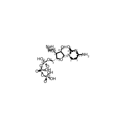 Nc1ccn([C@@H]2O[C@H](COP(=O)(O)OP(=O)(O)OP(=O)(O)O)[C@@H](O)[C@H]2O)c(=O)n1.[NaH].[NaH]